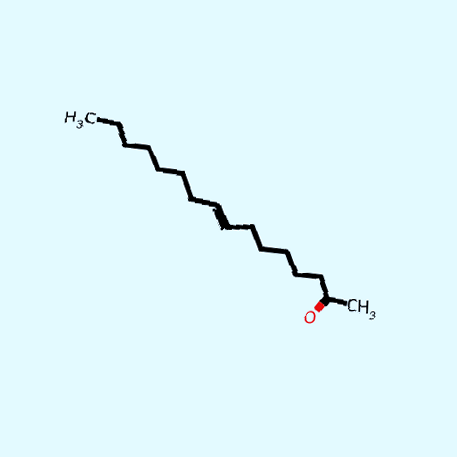 CCCCCCCC=CCCCCCC(C)=O